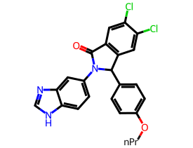 CCCOc1ccc(C2c3cc(Cl)c(Cl)cc3C(=O)N2c2ccc3[nH]cnc3c2)cc1